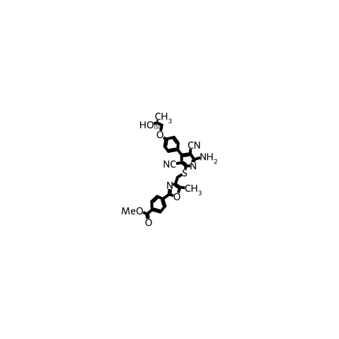 COC(=O)c1ccc(-c2nc(CSc3nc(N)c(C#N)c(-c4ccc(OC[C@H](C)O)cc4)c3C#N)c(C)o2)cc1